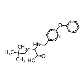 CC(C)(C)CCC(NCc1ccc(Oc2ccccc2)nc1)C(=O)O